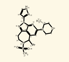 CC(C)C1c2cc(N3CCOC[C@H]3C)nc3c2c(nn3-c2cc[nH]n2)CCN1S(C)(=O)=O